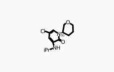 CC(C)Nc1cc(Cl)cn([C@H]2CCCOC2)c1=O